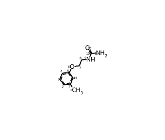 Cc1cccc(OCCNC(N)=O)c1